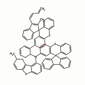 C=C/C=C\C1=C(C)C2(c3ccccc3Sc3ccc(C4=CC=CCC4N(c4ccc5c(c4)C4(c6ccccc6S5)c5ccccc5-c5ccccc54)c4cccc5sc6c(c45)CC(C)C=C6)cc32)c2ccccc21